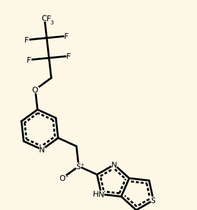 [O-][S+](Cc1cc(OCC(F)(F)C(F)(F)C(F)(F)F)ccn1)c1nc2cscc2[nH]1